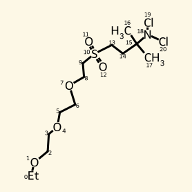 CCOCCOCCOCCS(=O)(=O)CCC(C)(C)N(Cl)Cl